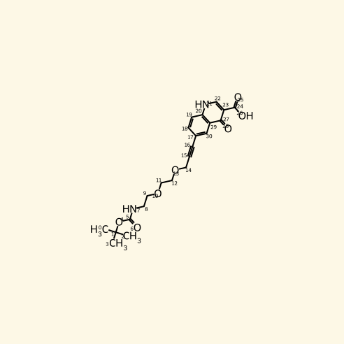 CC(C)(C)OC(=O)NCCOCCOCC#Cc1ccc2[nH]cc(C(=O)O)c(=O)c2c1